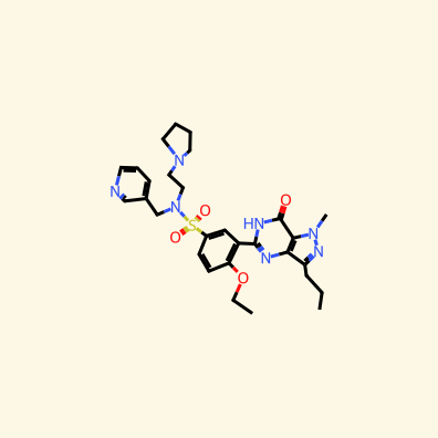 CCCc1nn(C)c2c(=O)[nH]c(-c3cc(S(=O)(=O)N(CCN4CCCC4)Cc4cccnc4)ccc3OCC)nc12